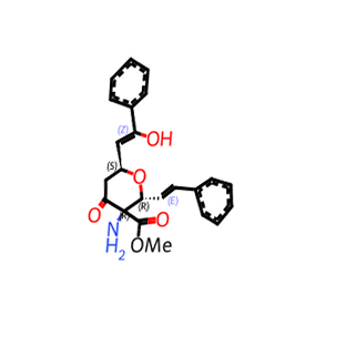 COC(=O)[C@]1(N)C(=O)C[C@@H](/C=C(\O)c2ccccc2)O[C@@H]1/C=C/c1ccccc1